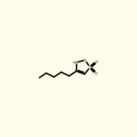 CCCCCC1=CS(=O)(=O)SN1